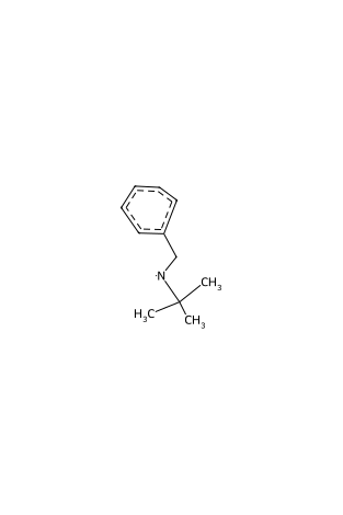 CC(C)(C)[N]Cc1ccccc1